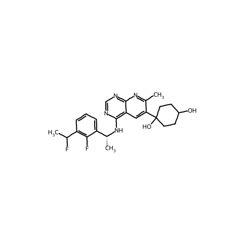 Cc1nc2ncnc(N[C@H](C)c3cccc(C(C)F)c3F)c2cc1C1(O)CCC(O)CC1